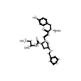 CC(=O)N[C@@H](Cc1ccc(O)cc1)C(=O)C=CN1CC(OCc2ccccc2)C[C@H]1C(=O)NC(C=O)CC(=O)O